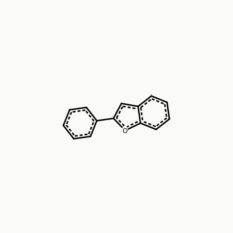 [c]1cccc2oc(-c3ccccc3)cc12